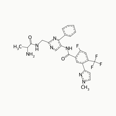 CC(N)C(=O)NCc1ncc(NC(=O)c2cc(-c3ccn(C)n3)c(C(F)(F)F)cc2F)c(-c2ccccc2)n1